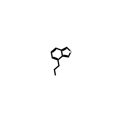 CCCc1cccc2cscc12